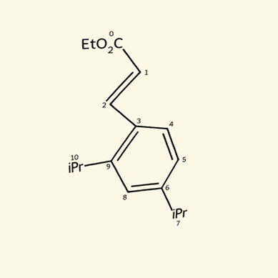 CCOC(=O)C=Cc1ccc(C(C)C)cc1C(C)C